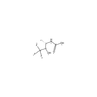 C[C@H](NC(=O)O)C(O)C(F)(F)F